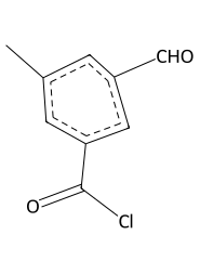 Cc1cc(C=O)cc(C(=O)Cl)c1